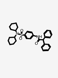 O=C(Nc1ccc(S(=O)(=O)N(C2CCCCC2)C2CCCCC2)cc1)C(c1ccccc1)c1ccccc1